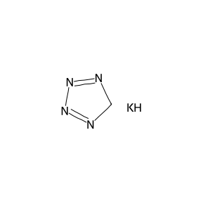 C1N=NN=N1.[KH]